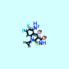 Nc1c(F)c(F)cc2c1c(=O)c1c(=O)[nH]sc1n2C1CC1